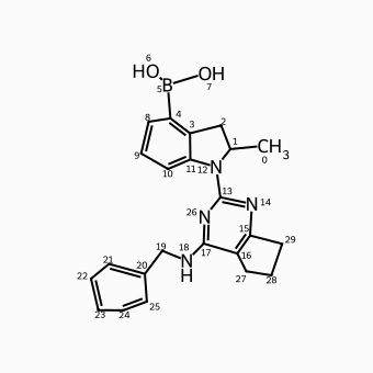 CC1Cc2c(B(O)O)cccc2N1c1nc2c(c(NCc3ccccc3)n1)CCC2